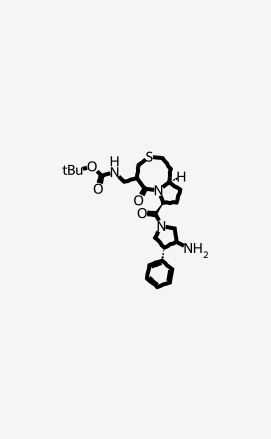 CC(C)(C)OC(=O)NCC1CSCC[C@H]2CC[C@@H](C(=O)N3CC(N)[C@H](c4ccccc4)C3)N2C1=O